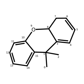 CC1(C)C2=CC=CCC2Oc2ccccc21